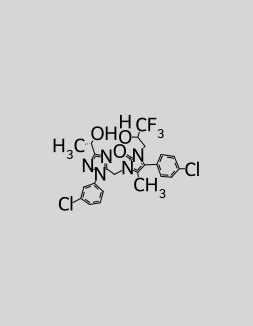 Cc1c(-c2ccc(Cl)cc2)n(CC(O)C(F)(F)F)c(=O)n1Cc1nc([C@H](C)O)nn1-c1cccc(Cl)c1